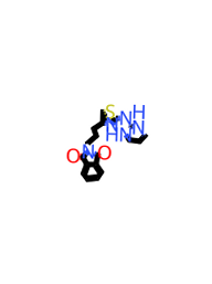 O=C1c2ccccc2C(=O)N1CCCc1csc(N=C2NCCCN2)n1